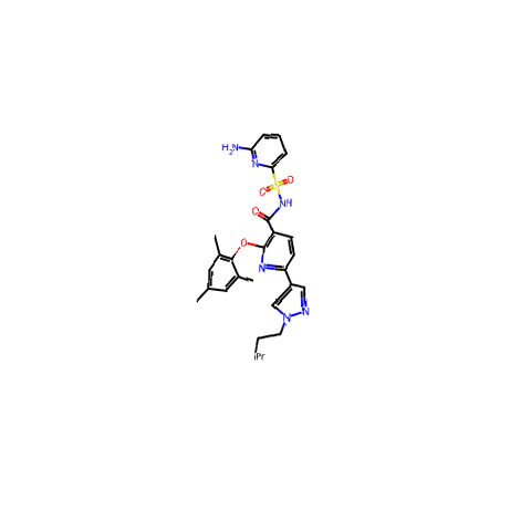 Cc1cc(C)c(Oc2nc(-c3cnn(CCC(C)C)c3)ccc2C(=O)NS(=O)(=O)c2cccc(N)n2)c(C)c1